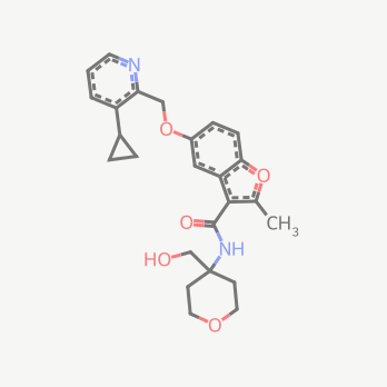 Cc1oc2ccc(OCc3ncccc3C3CC3)cc2c1C(=O)NC1(CO)CCOCC1